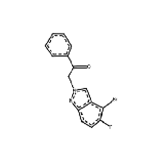 O=C(Cn1cc2c(Br)c(F)ccc2n1)c1ccccc1